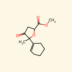 COC(=O)C1CC(=O)C(C)(C2=CCCCC2)O1